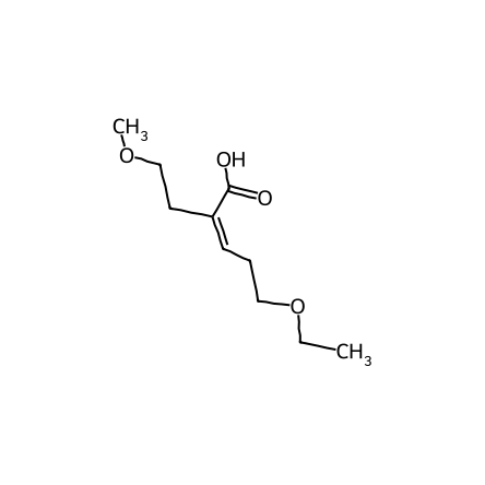 CCOCC/C=C(/CCOC)C(=O)O